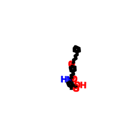 Cc1ccc(NC(=O)CCc2ccc(OCCCCCc3ccccc3)cc2)cc1C(=O)O